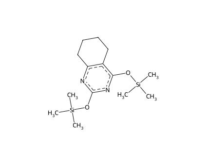 C[Si](C)(C)Oc1nc2c(c(O[Si](C)(C)C)n1)CCCC2